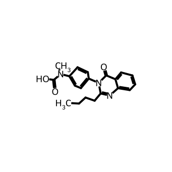 CCCCc1nc2ccccc2c(=O)n1-c1ccc(N(C)C(=O)O)cc1